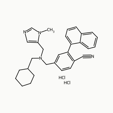 Cl.Cl.Cn1cncc1CN(Cc1ccc(C#N)c(-c2cccc3ccccc23)c1)CC1CCCCC1